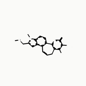 CC(C)NCc1cc2c3c(ccc2n1C)-c1[nH]c(=O)c(C(=O)O)c(O)c1CC=C3